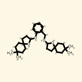 CC1(C)CCC2(CCC(OCc3ccccc3OC3CCC4(CCC(C)(C)CC4)O3)O2)CC1